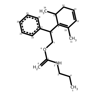 C=C(NCCC)OCC(C1=C(C)C=CCC1C)c1ccccc1